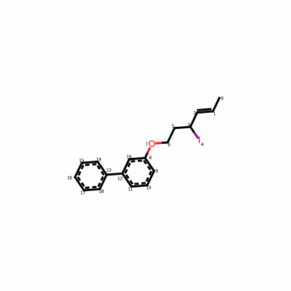 C/C=C/C(I)CCOc1cccc(-c2ccccc2)c1